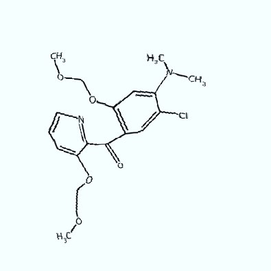 COCOc1cc(N(C)C)c(Cl)cc1C(=O)c1ncccc1OCOC